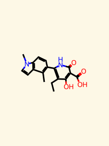 CCc1c(-c2ccc3c(ccn3C)c2C)[nH]c(=O)c(C(=O)O)c1O